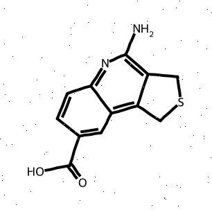 Nc1nc2ccc(C(=O)O)cc2c2c1CSC2